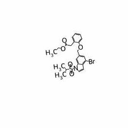 CCOC(=O)Cc1ccccc1OCc1cc(Br)c2ccn(S(=O)(=O)C(C)C)c2c1